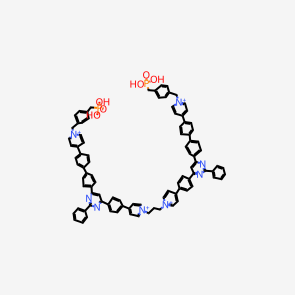 O=P(O)(O)Cc1ccc(C[n+]2ccc(-c3ccc(-c4ccc(-c5cc(-c6ccc(-c7cc[n+](CCC[n+]8ccc(-c9ccc(-c%10cc(-c%11ccc(-c%12ccc(-c%13cc[n+](Cc%14ccc(CP(=O)(O)O)cc%14)cc%13)cc%12)cc%11)nc(-c%11ccccc%11)n%10)cc9)cc8)cc7)cc6)nc(-c6ccccc6)n5)cc4)cc3)cc2)cc1